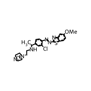 COc1ccc2sc(N=Nc3ccc(C(C)NCC[N+]45CCN(CC4)CC5)cc3Cl)nc2c1